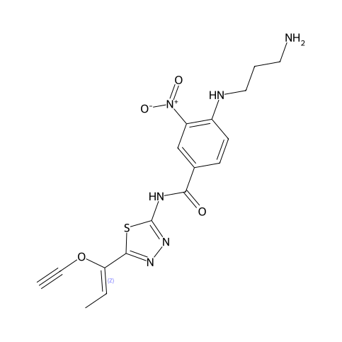 C#CO/C(=C\C)c1nnc(NC(=O)c2ccc(NCCCN)c([N+](=O)[O-])c2)s1